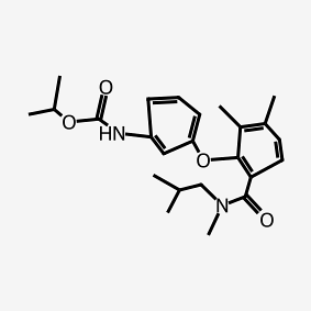 Cc1ccc(C(=O)N(C)CC(C)C)c(Oc2cccc(NC(=O)OC(C)C)c2)c1C